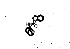 O=C(NC1C2CC3CC(C2)CC1C3)N1CCc2ccccc21